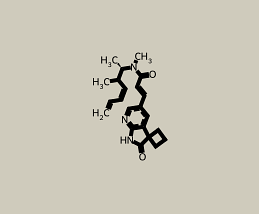 C=C/C=C\C(C)[C@H](C)N(C)C(=O)/C=C/c1cnc2c(c1)C1(CCC1)C(=O)N2